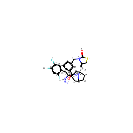 C=C1CSC(=O)N1Cc1cccc(C(=O)N2C3CCC2CC(C(N)Cc2cc(F)c(F)cc2F)C3)c1